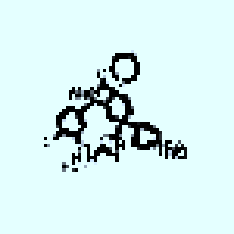 CCCC(C1=CC(c2ccccc2)(c2nnc(N)o2)C=CC1(C(=O)NC)N1CCCCC1)c1ccc(Cl)c(Cl)c1.Cl.Cl.O.O